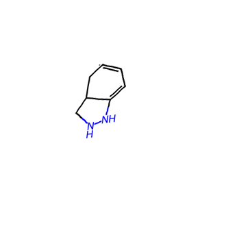 [C]1=CC=C2NNCC2C1